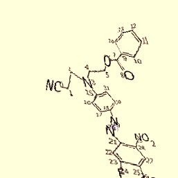 N#CCCN(CCOC(=O)c1ccccc1)c1ccc(/N=N/c2cc(F)c([N+](=O)[O-])cc2[N+](=O)[O-])cc1